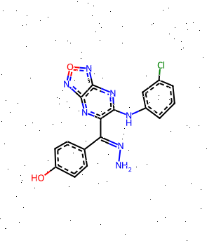 NN=C(c1ccc(O)cc1)c1nc2nonc2nc1Nc1cccc(Cl)c1